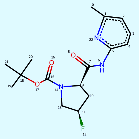 Cc1cccc(NC(=O)[C@H]2C[C@@H](F)CN2C(=O)OC(C)(C)C)n1